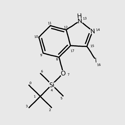 CC(C)(C)[Si](C)(C)Oc1cccc2[nH]nc(I)c12